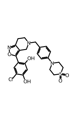 O=S1(=O)CCN(c2ccc(CN3CCc4noc(-c5cc(Cl)c(O)cc5O)c4C3)cc2)CC1